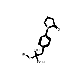 CC(C)(C)OC(Cc1ccc(N2CCCC2=O)cc1)(C(=O)O)C(=O)O